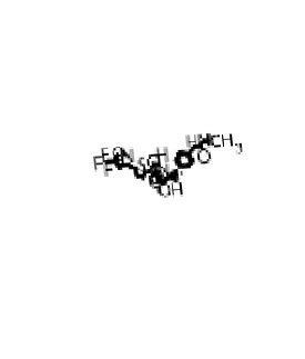 CNC(=O)Cc1ccc([C@@H]2C[C@]2(NS(=O)(=O)C2=CCC(c3cc(C(F)(F)F)on3)S2)C(=O)O)cc1